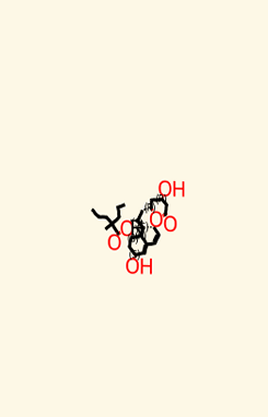 CCCC(C)(CCC)C(=O)O[C@H]1C[C@H](O)C=C2C=CC[C@@H]([C@@H](C)C[C@@H]3C[C@@H](O)CC(=O)O3)[C@H]21